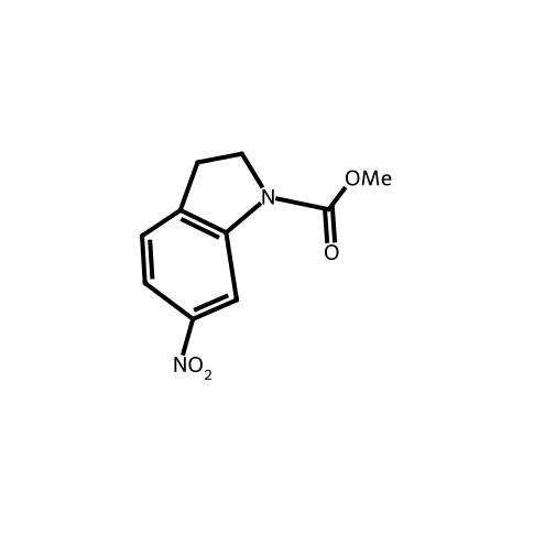 COC(=O)N1CCc2ccc([N+](=O)[O-])cc21